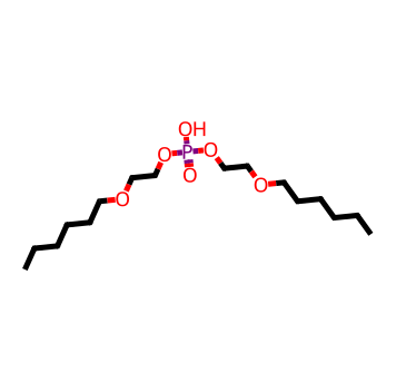 CCCCCCOCCOP(=O)(O)OCCOCCCCCC